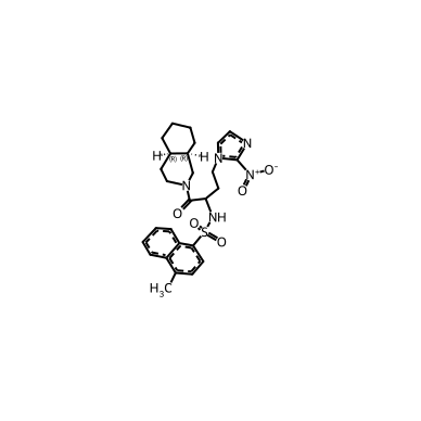 Cc1ccc(S(=O)(=O)NC(CCn2ccnc2[N+](=O)[O-])C(=O)N2CC[C@H]3CCCC[C@H]3C2)c2ccccc12